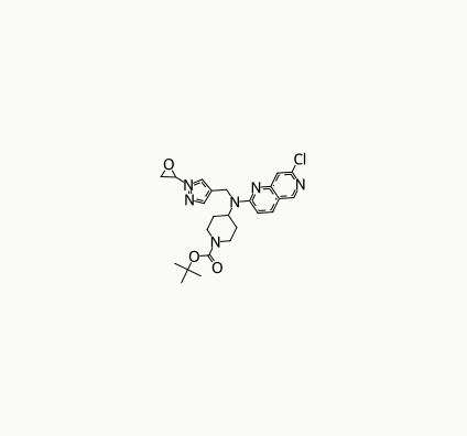 CC(C)(C)OC(=O)N1CCC(N(Cc2cnn(C3CO3)c2)c2ccc3cnc(Cl)cc3n2)CC1